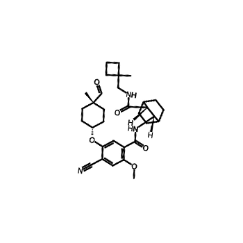 COc1cc(C#N)c(O[C@H]2CC[C@@](C)(C=O)CC2)cc1C(=O)N[C@H]1C2CCC(CC2)[C@H]1C(=O)NCC1(C)CCC1